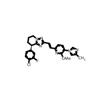 COc1nc(/C=C/c2nc3n(n2)CCC[C@@H]3c2ccc(Cl)c(F)c2)ccc1-n1cnc(C)c1